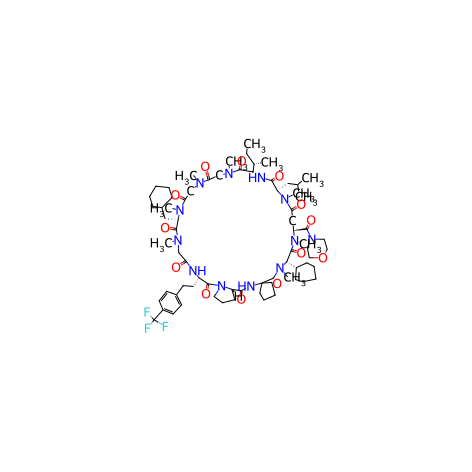 CC[C@H](C)[C@@H]1NC(=O)[C@H](CC(C)C)N(C)C(=O)C[C@@H](C(=O)N2CCOCC2)N(C)C(=O)[C@H](C2CCCCC2)N(C)C(=O)C2(CCCC2)NC(=O)[C@@H]2CCCN2C(=O)[C@H](CCc2ccc(C(F)(F)F)cc2)NC(=O)CN(C)C(=O)[C@H](CC2CCCCC2)N(C)C(=O)CN(C)C(=O)CN(C)C1=O